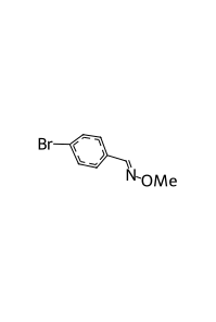 CON=Cc1ccc(Br)cc1